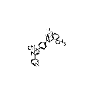 Cc1cccc(C)c1CNc1ccc(-n2cc(-c3cccnc3)nc2C#N)cc1